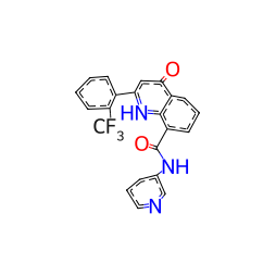 O=C(Nc1cccnc1)c1cccc2c(=O)cc(-c3ccccc3C(F)(F)F)[nH]c12